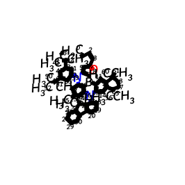 C=C/C=C\c1cc2c(o1)B1c3cc4c(cc3N(c3cccc5c3C(C)(C)c3ccccc3-5)c3cc(C)cc(c31)N2c1cc(C(C)(C)C)cc(C(C)(C)C)c1)C(C)(C)CCC4(C)C